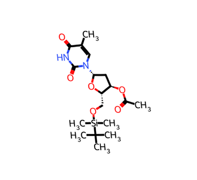 CC(=O)O[C@@H]1C[C@@H](n2cc(C)c(=O)[nH]c2=O)O[C@H]1CO[Si](C)(C)C(C)(C)C